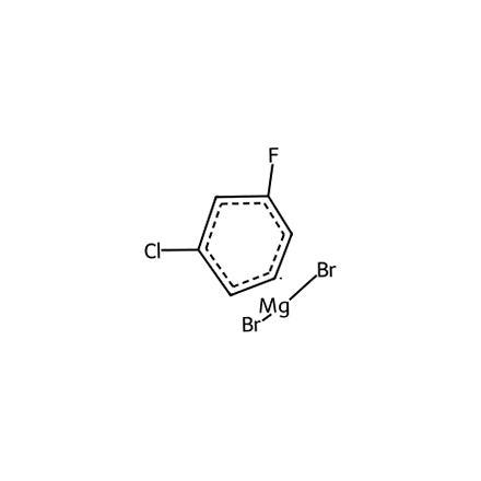 Fc1c[c]cc(Cl)c1.[Br][Mg][Br]